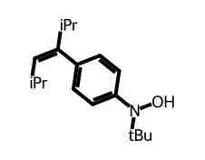 CC(C)/C=C(\c1ccc(N(O)C(C)(C)C)cc1)C(C)C